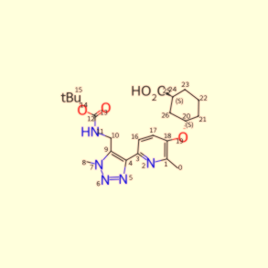 Cc1nc(-c2nnn(C)c2CNC(=O)OC(C)(C)C)ccc1O[C@H]1CCC[C@H](C(=O)O)C1